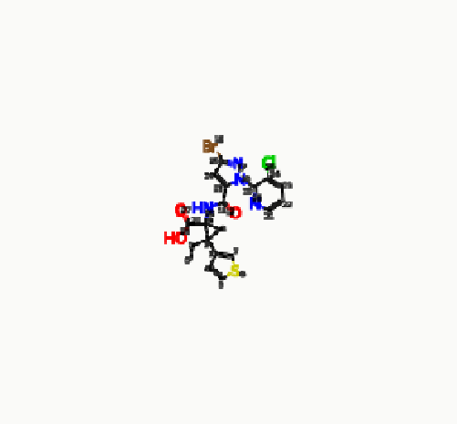 CCC1(c2ccsc2)CC1(NC(=O)c1cc(Br)nn1-c1ncccc1Cl)C(=O)O